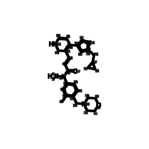 Cc1cc(N(N)C(=O)/C=C/C2=C(c3cnn(CC4CC4)c3)C=CNC2)ccc1CN1CCOCC1